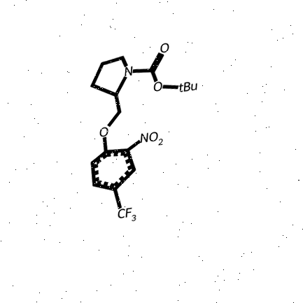 CC(C)(C)OC(=O)N1CCCC1COc1ccc(C(F)(F)F)cc1[N+](=O)[O-]